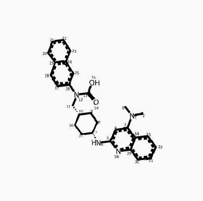 CN(C)c1cc(N[C@H]2CC[C@@H](CN(C(=O)O)c3ccc4ccccc4c3)CC2)nc2ccccc12